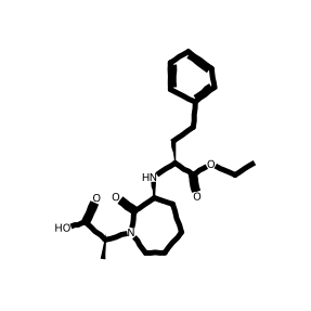 CCOC(=O)[C@H](CCc1ccccc1)N[C@H]1CCCCN([C@@H](C)C(=O)O)C1=O